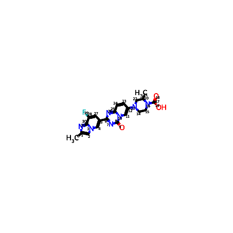 Cc1cn2cc(-c3nc(=O)n4cc(N5CCN(C(=O)O)C(C)C5)ccc4n3)cc(F)c2n1